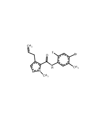 C=CCc1cnn(C)c1C(=O)Nc1cc(C)c(Br)cc1F